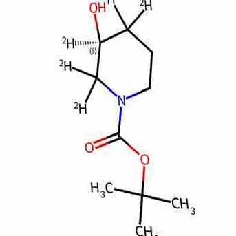 [2H]C1([2H])CCN(C(=O)OC(C)(C)C)C([2H])([2H])[C@@]1([2H])O